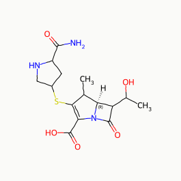 CC(O)C1C(=O)N2C(C(=O)O)=C(SC3CNC(C(N)=O)C3)C(C)[C@@H]12